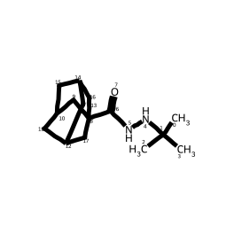 CC(C)(C)NNC(=O)C12CC3CC(CC(C3)C1)C2